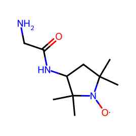 CC1(C)CC(NC(=O)CN)C(C)(C)N1[O]